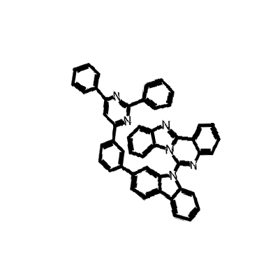 c1ccc(-c2cc(-c3cccc(-c4ccc5c6ccccc6n(-c6nc7ccccc7c7nc8ccccc8n67)c5c4)c3)nc(-c3ccccc3)n2)cc1